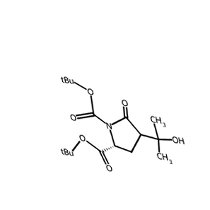 CC(C)(C)OC(=O)[C@H]1CC(C(C)(C)O)C(=O)N1C(=O)OC(C)(C)C